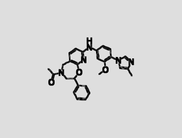 COc1cc(Nc2ccc3c(n2)OC(c2ccccc2)CN(C(C)=O)C3)ccc1-n1cnc(C)c1